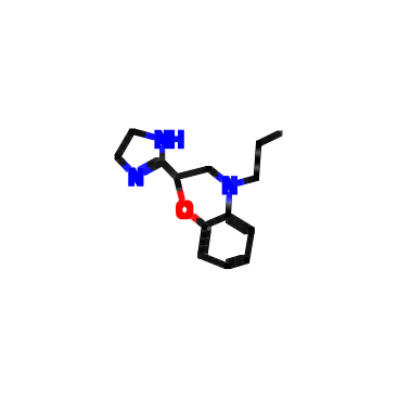 CCCN1CC(C2=NCCN2)Oc2ccccc21